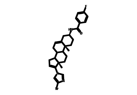 C[C@]12CC[C@H](NC(=O)c3ccc(F)cc3)CC1=CCC1C2CC[C@]2(C)C(n3cnc(Br)c3)=CCC12